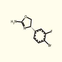 NC1=N[C@@H](c2ccc(Br)c(F)c2)CO1